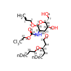 C=CCO[C@H]1O[C@H](CO)[C@@H](O)[C@H](OCC[C@@H](CCCCCCCCCCC)OCCCCCCCCCCCC)[C@H]1NC(=O)OCC(Cl)(Cl)Cl